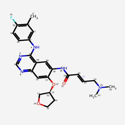 Cc1cc(Nc2ncnc3cc(O[C@H]4CCOC4)c(NC(=O)/C=C/CN(C)C)cc23)ccc1F